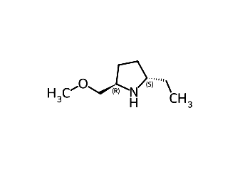 CC[C@H]1CC[C@H](COC)N1